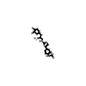 NC(CNc1ncc(-c2ccc3[nH]c(=O)oc3c2)s1)Cc1ccc(F)c(F)c1